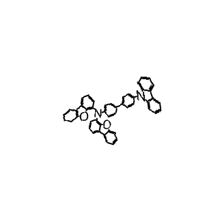 C1=Cc2c(oc3c(N(c4ccc(-c5ccc(-n6c7ccccc7c7ccccc76)cc5)cc4)c4cccc5c4oc4ccccc45)cccc23)CC1